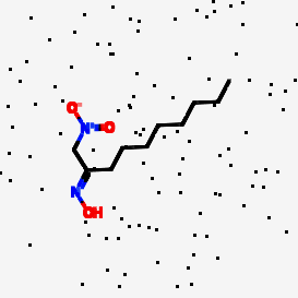 CCCCCCCC/C(C[N+](=O)[O-])=N\O